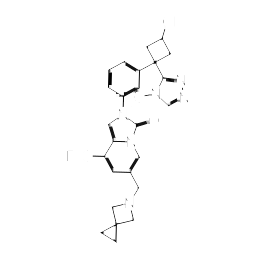 CC1CC(c2cccc(-n3cc4c(C(F)(F)F)cc(CN5CC6(CC6)C5)cn4c3=O)c2)(c2nncn2C)C1